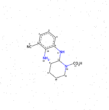 N#Cc1cccc(NC2CCCCN2C(=O)O)c1N